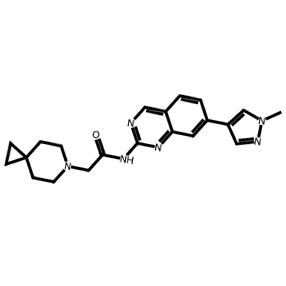 Cn1cc(-c2ccc3cnc(NC(=O)CN4CCC5(CC4)CC5)nc3c2)cn1